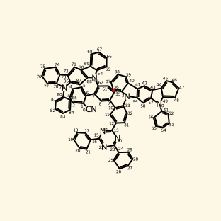 N#Cc1ccccc1-c1cc(-c2cc(-c3nc(-c4ccccc4)nc(-c4ccccc4)n3)ccc2-n2c3ccccc3c3cc4c5ccccc5n(-c5ccccc5)c4cc32)ccc1-n1c2ccccc2c2cc3c4ccccc4n(-c4ccccc4)c3cc21